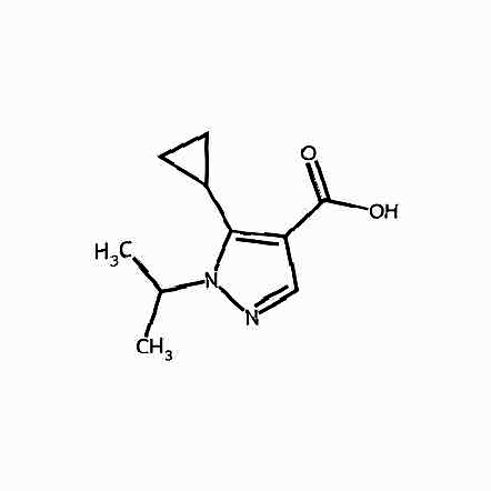 CC(C)n1ncc(C(=O)O)c1C1CC1